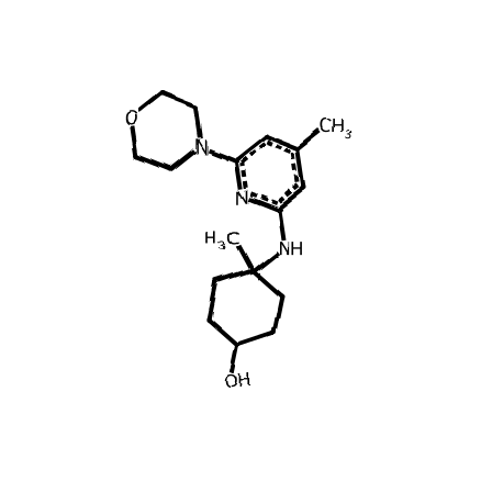 Cc1cc(NC2(C)CCC(O)CC2)nc(N2CCOCC2)c1